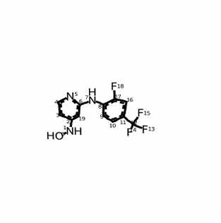 ONc1ccnc(Nc2ccc(C(F)(F)F)cc2F)c1